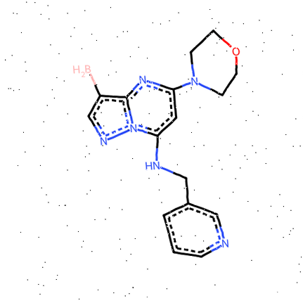 Bc1cnn2c(NCc3cccnc3)cc(N3CCOCC3)nc12